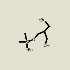 CC(C)(C)[CH]C(CO)CO[Si](C)(C)C(C)(C)C